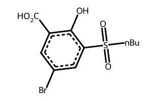 CCCCS(=O)(=O)c1cc(Br)cc(C(=O)O)c1O